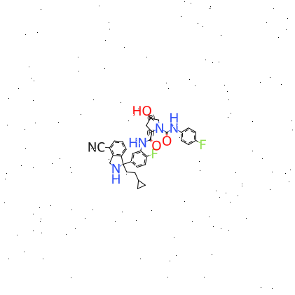 N#Cc1cccc2c1CNC2(CCC1CC1)c1ccc(F)c(NC(=O)[C@H]2C[C@@H](O)CN2C(=O)Nc2ccc(F)cc2)c1